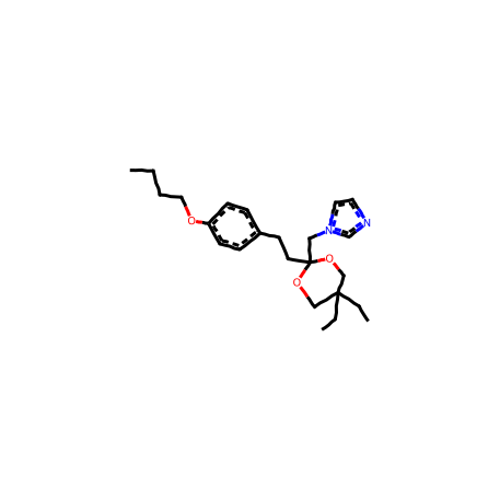 CCCCOc1ccc(CCC2(Cn3ccnc3)OCC(CC)(CC)CO2)cc1